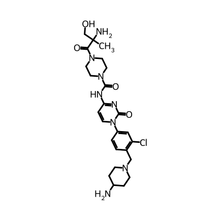 CC(N)(CO)C(=O)N1CCN(C(=O)Nc2ccn(-c3ccc(CN4CCC(N)CC4)c(Cl)c3)c(=O)n2)CC1